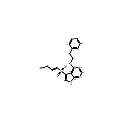 O=S(=O)(/C=C/CO)c1c[nH]c2ncnc(OCCc3ccccc3)c12